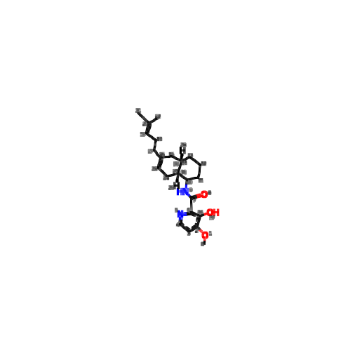 COc1ccnc(C(=O)NC2CCC[C@H]3CC(CCC=C(C)C)=CC[C@@H]23)c1O